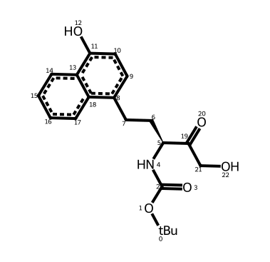 CC(C)(C)OC(=O)N[C@@H](CCc1ccc(O)c2ccccc12)C(=O)CO